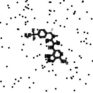 C[C@@H](c1ccc(C(F)(F)C(F)(F)F)cc1)N(C)C(=O)C(=O)Nc1cnc(N)c2cn[nH]c12